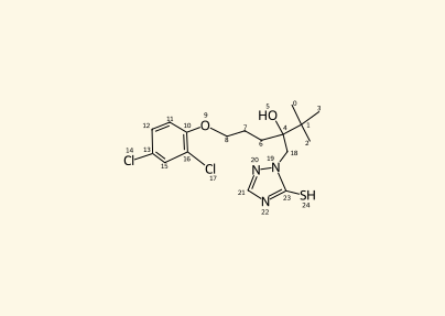 CC(C)(C)C(O)(CCCOc1ccc(Cl)cc1Cl)Cn1ncnc1S